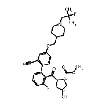 COC(=O)[C@@H]1C[C@@H](O)CN1C(=O)c1c(F)cccc1-c1ccc(OCC2CCN(CC(C)(C)F)CC2)cc1C#N